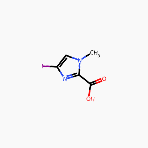 Cn1cc(I)nc1C(=O)O